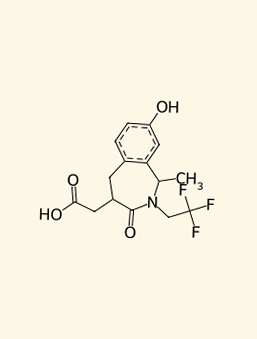 CC1c2cc(O)ccc2CC(CC(=O)O)C(=O)N1CC(F)(F)F